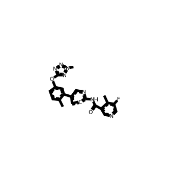 Cc1ccc(Oc2nnn(C)n2)cc1-c1ccc(NC(=O)c2cncc(F)c2C)nc1